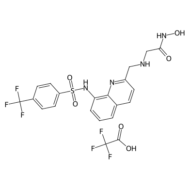 O=C(CNCc1ccc2cccc(NS(=O)(=O)c3ccc(C(F)(F)F)cc3)c2n1)NO.O=C(O)C(F)(F)F